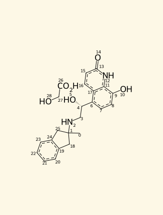 CC1(NC[C@H](O)c2ccc(O)c3[nH]c(=O)ccc23)Cc2ccccc2C1.O=C(O)CO